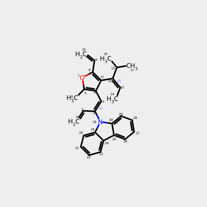 C=C/C(=C\c1c(C)oc(C=C)c1/C(=C\C)C(C)C)n1c2ccccc2c2ccccc21